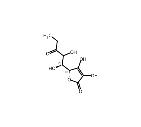 CCC(=O)C(O)[C@H](O)[C@H]1OC(=O)C(O)=C1O